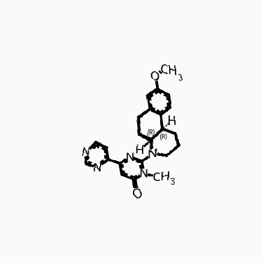 COc1ccc2c(c1)CC[C@@H]1[C@@H]2CCCN1c1nc(-c2ccncn2)cc(=O)n1C